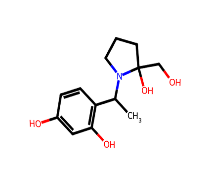 CC(c1ccc(O)cc1O)N1CCCC1(O)CO